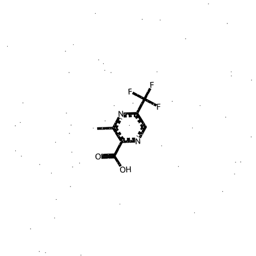 Cc1nc(C(F)(F)F)cnc1C(=O)O